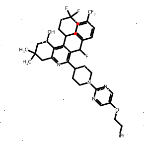 CC(C)CCOc1cnc(N2CCC(c3nc4c(c(C5CCC(F)(F)CC5)c3C(F)c3ccc(C(F)(F)F)cc3)C(O)CC(C)(C)C4)CC2)nc1